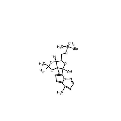 CC1(C)O[C@H]2[C@@H](O1)C(O)(c1ccc3c(N)ncnn13)O[C@@H]2CO[Si](C)(C)C(C)(C)C